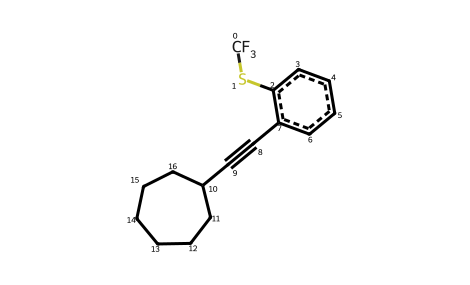 FC(F)(F)Sc1ccccc1C#CC1CCCCCC1